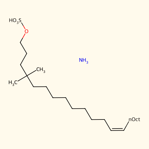 CCCCCCCC/C=C\CCCCCCCCC(C)(C)CCCOS(=O)(=O)O.N